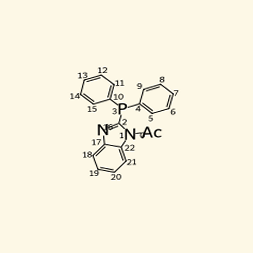 CC(=O)n1c(P(c2ccccc2)c2ccccc2)nc2ccccc21